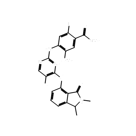 CNC(=O)c1cc(OC)c(Nc2ncc(C(F)(F)F)c(Oc3cccc4c3C(=O)N(C)C4C)n2)cc1F